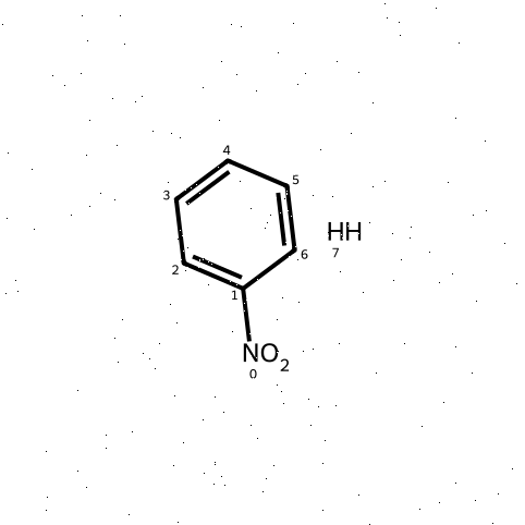 O=[N+]([O-])c1ccccc1.[HH]